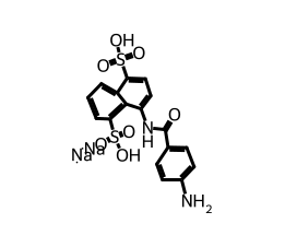 Nc1ccc(C(=O)Nc2ccc(S(=O)(=O)O)c3cccc(S(=O)(=O)O)c23)cc1.[Na].[Na]